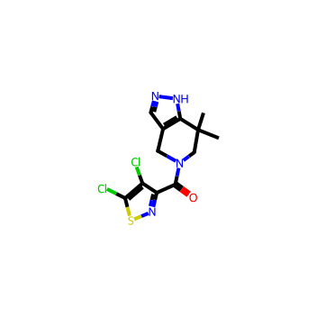 CC1(C)CN(C(=O)c2nsc(Cl)c2Cl)Cc2cn[nH]c21